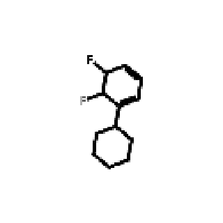 FC1C=CC=C(C2CCCCC2)C1F